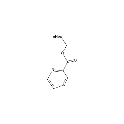 CCCCCCCOC(=O)c1cnccn1